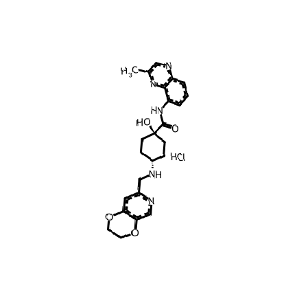 Cc1cnc2cccc(NC(=O)[C@]3(O)CC[C@H](NCc4cc5c(cn4)OCCO5)CC3)c2n1.Cl